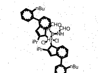 CCCCc1ccccc1-c1cccc2c1C=C(C(C)C)[CH]2[Hf]([Cl])([Cl])([B](NC=O)NC=O)[CH]1C(C(C)C)=Cc2c(-c3ccccc3CCCC)cccc21